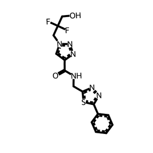 O=C(NCc1nnc(-c2ccccc2)s1)c1cn(CC(F)(F)CO)nn1